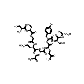 CC(C)C[C@H](NC(=O)[C@@H](N)CO)C(=O)NCC(=O)N[C@@H](CCC(=O)O)C(=O)N[C@@H](CCC(N)=O)C(=O)N[C@@H](CCC(N)=O)C(=O)N[C@@H](Cc1ccc(O)cc1)C(=O)N[C@@H](CO)C(=O)N[C@H](C(=O)O)C(C)C